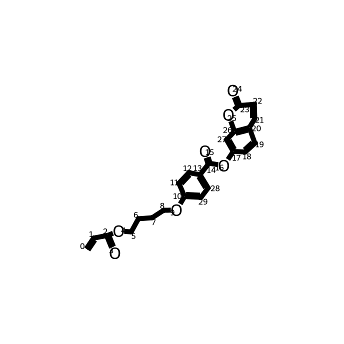 C=CC(=O)OCCCCOc1ccc(C(=O)Oc2ccc3ccc(=O)oc3c2)cc1